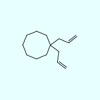 C=CCC1(CC=C)CCCCCCC1